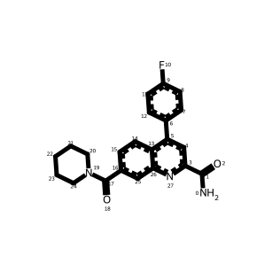 NC(=O)c1cc(-c2ccc(F)cc2)c2ccc(C(=O)N3CCCCC3)cc2n1